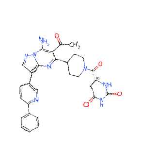 CC(=O)c1c(C2CCN(C(=O)[C@H]3CC(=O)NC(=O)N3)CC2)nc2c(-c3ccc(-c4ccccc4)nc3)cnn2c1N